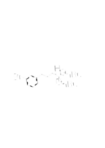 CCCCO[SiH](CCCc1cccc(Br)c1)OCCCC